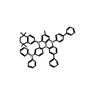 Cc1cc2c3c(c1)N(c1ccc4c(c1)C(C)(C)CCC4(C)C)c1cc(N(c4ccccc4)c4ccccc4)ccc1B3c1cc(-c3ccccc3)ccc1N2c1ccc(-c2ccccc2)cc1